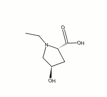 CCN1C[C@H](O)C[C@H]1C(=O)O